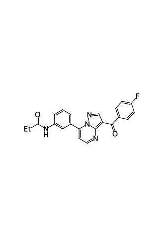 CCC(=O)Nc1cccc(-c2ccnc3c(C(=O)c4ccc(F)cc4)cnn23)c1